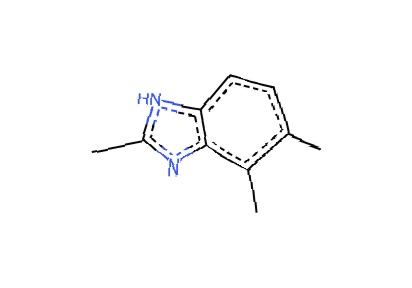 Cc1nc2c(C)c(C)ccc2[nH]1